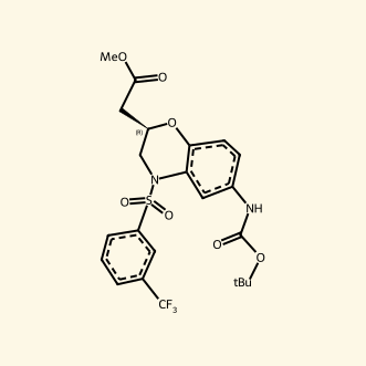 COC(=O)C[C@@H]1CN(S(=O)(=O)c2cccc(C(F)(F)F)c2)c2cc(NC(=O)OC(C)(C)C)ccc2O1